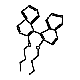 CCCCOc1ccc2ccccc2c1-c1c(OCCCC)ccc2ccccc12